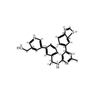 Cc1nc(N[C@@H](C)c2cccc(-c3cncc(CO)c3)c2)cc(-c2ccc3ncsc3c2)n1